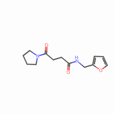 O=C(CCC(=O)N1CCCC1)NCc1ccco1